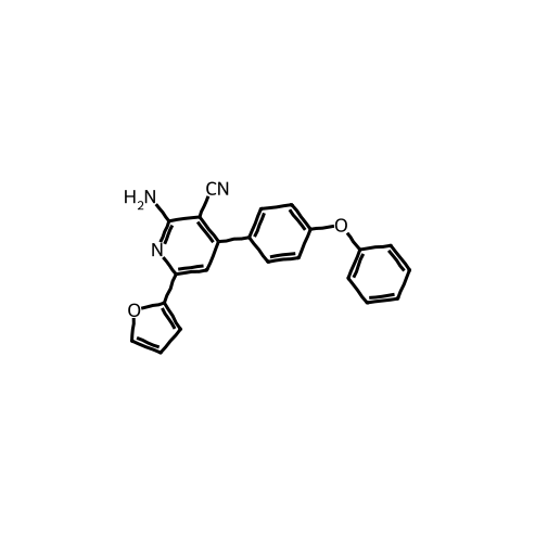 N#Cc1c(-c2ccc(Oc3ccccc3)cc2)cc(-c2ccco2)nc1N